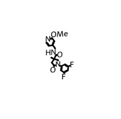 COc1cc(CNC(=O)C2(C)CC(=O)N(c3cc(F)cc(F)c3)C2)ccn1